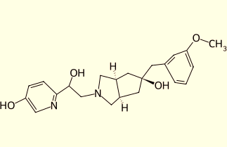 COc1cccc(C[C@]2(O)C[C@H]3CN(CC(O)c4ccc(O)cn4)C[C@H]3C2)c1